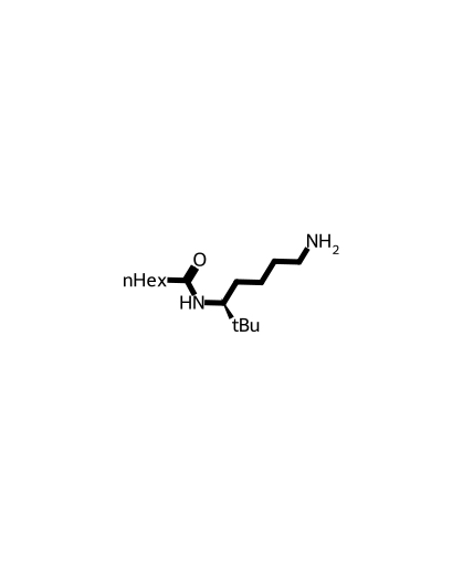 CCCCCCC(=O)N[C@@H](CCCCN)C(C)(C)C